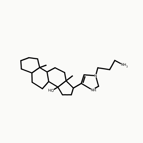 CC12CCCCC1CCC1C2CCC2(C)C(C3=CN(CCCN)CN3)CCC12O